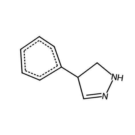 C1=NNCC1c1ccccc1